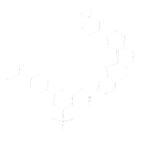 Cc1ccc(C(=O)Nc2cc(N3CCN(C(C)C)CC3)cc(C(F)(F)F)c2)cc1Nc1ncnc2cnc(N3CCC(F)(F)C3)nc12